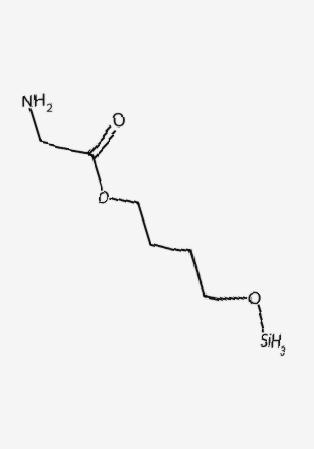 NCC(=O)OCCCCO[SiH3]